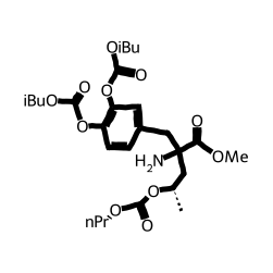 CCCOC(=O)O[C@@H](C)CC(N)(Cc1ccc(OC(=O)OCC(C)C)c(OC(=O)OCC(C)C)c1)C(=O)OC